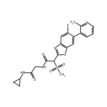 CS(=O)(=O)C(C(=O)NCC(=O)NC1CC1)c1nc2cc(F)c(-c3cccnc3C(F)(F)F)cc2s1